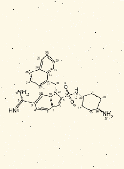 N=C(N)c1ccc2cc(S(=O)(=O)N[C@H]3CC[C@H](N)CC3)n(Cc3cccc4ccccc34)c2c1